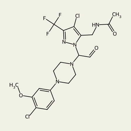 COc1cc(N2CCN(C(C=O)n3nc(C(F)(F)F)c(Cl)c3CNC(C)=O)CC2)ccc1Cl